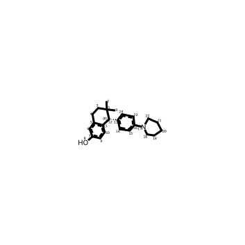 CC1(C)CCc2cc(O)ccc2[C@H]1c1ccc(N2CCCCC2)cc1